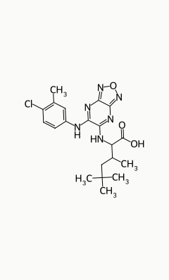 Cc1cc(Nc2nc3nonc3nc2NC(C(=O)O)C(C)CC(C)(C)C)ccc1Cl